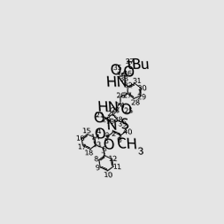 CC1=C(C(=O)OC(c2ccccc2)c2ccccc2)N2C(=O)C(NC(=O)Cc3ccccc3NC(=O)OC(C)(C)C)C2SC1